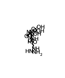 N=C(N)NCCCC(=O)C(=O)Nc1nc2c(ncn2[C@@H]2O[C@H](CO)[C@@H](O)[C@H]2O)c(=O)[nH]1